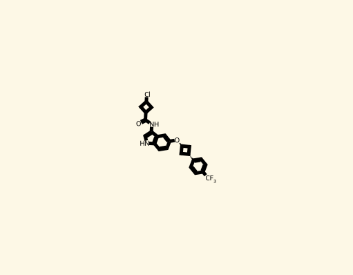 O=C(Nc1c[nH]c2ccc(O[C@H]3C[C@@H](c4ccc(C(F)(F)F)cc4)C3)cc12)C1CC(Cl)C1